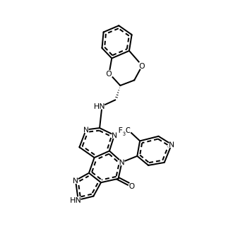 O=c1c2c[nH]nc2c2cnc(NC[C@H]3COc4ccccc4O3)nc2n1-c1ccncc1C(F)(F)F